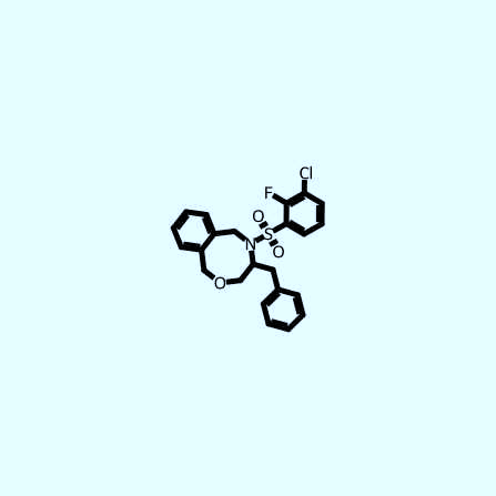 O=S(=O)(c1cccc(Cl)c1F)N1Cc2ccccc2COCC1Cc1ccccc1